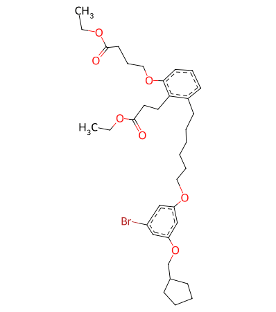 CCOC(=O)CCCOc1cccc(CCCCCCOc2cc(Br)cc(OCC3CCCC3)c2)c1CCC(=O)OCC